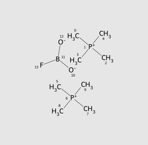 C[P+](C)(C)C.C[P+](C)(C)C.[O-]B([O-])F